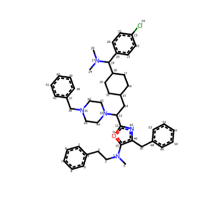 CN(CCc1ccccc1)c1oc(C(CC2CCC(C(c3ccc(Cl)cc3)N(C)C)CC2)N2CCN(Cc3ccccc3)CC2)nc1Cc1ccccc1